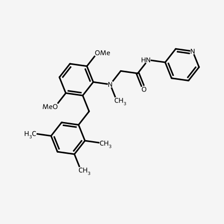 COc1ccc(OC)c(N(C)CC(=O)Nc2cccnc2)c1Cc1cc(C)cc(C)c1C